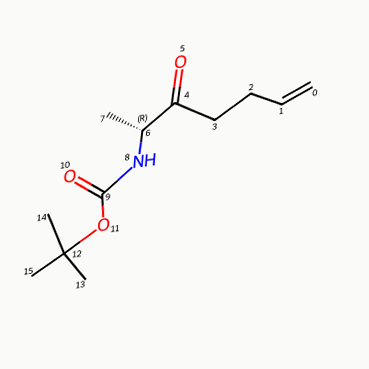 C=CCCC(=O)[C@@H](C)NC(=O)OC(C)(C)C